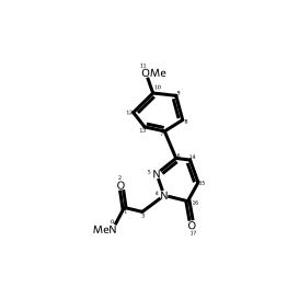 CNC(=O)Cn1nc(-c2ccc(OC)cc2)ccc1=O